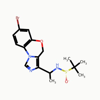 CC(N[S@@+]([O-])C(C)(C)C)c1ncn2c1COc1cc(Br)ccc1-2